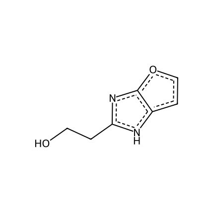 OCCc1nc2occc2[nH]1